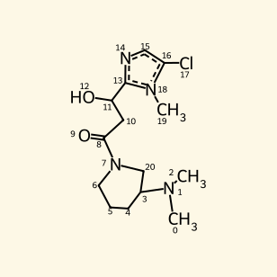 CN(C)C1CCCN(C(=O)CC(O)c2ncc(Cl)n2C)C1